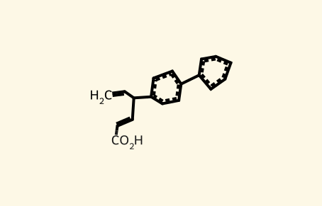 C=CC(C=CC(=O)O)c1ccc(-c2ccccc2)cc1